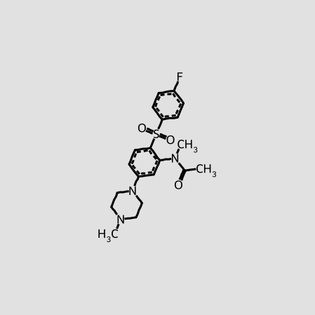 CC(=O)N(C)c1cc(N2CCN(C)CC2)ccc1S(=O)(=O)c1ccc(F)cc1